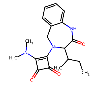 CCC(C)C1C(=O)Nc2ccccc2CN1c1c(N(C)C)c(=O)c1=O